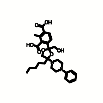 CCCCCC1(N2CCN(c3ccccc3)CC2)COC(CO)(c2ccc(C(=O)O)c(C)c2C(=O)O)O1